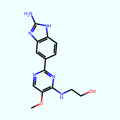 COc1cnc(-c2ccc3[nH]c(N)nc3c2)nc1NCCO